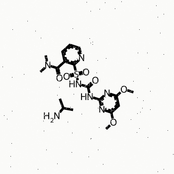 CC(C)N.COc1cc(OC)nc(NC(=O)NS(=O)(=O)c2ncccc2C(=O)N(C)C)n1